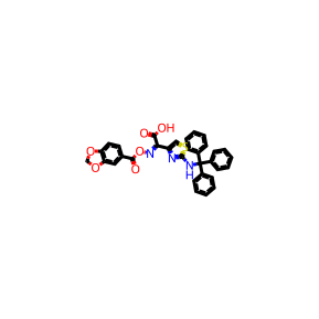 O=C(O)C(=NOC(=O)c1ccc2c(c1)OCO2)c1csc(NC(c2ccccc2)(c2ccccc2)c2ccccc2)n1